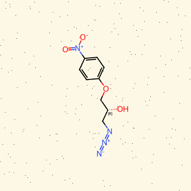 [N-]=[N+]=NC[C@@H](O)COc1ccc([N+](=O)[O-])cc1